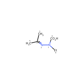 CCN(N=C(C)C)C(=O)O